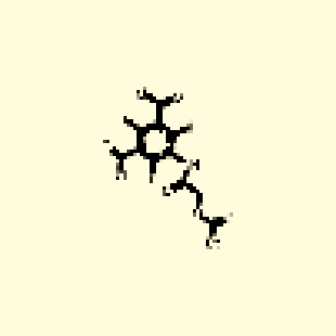 CCC(=O)OCC(=O)Nc1c(I)c(C(=O)Cl)c(I)c(C(=O)Cl)c1I